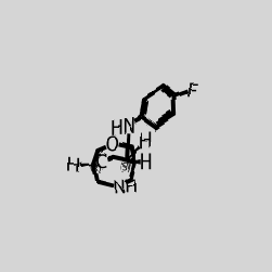 Fc1ccc(N[C@H]2CC[C@@H]3CNC[C@H]2COC3)cc1